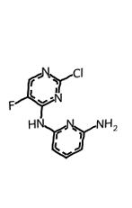 Nc1cccc(Nc2nc(Cl)ncc2F)n1